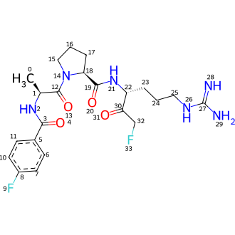 C[C@H](NC(=O)c1ccc(F)cc1)C(=O)N1CCC[C@H]1C(=O)N[C@H](CCCNC(=N)N)C(=O)CF